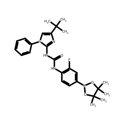 CC(C)(C)c1cn(-c2ccccc2)c(NC(=O)Nc2ccc(B3OC(C)(C)C(C)(C)O3)cc2F)n1